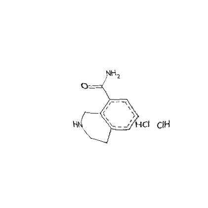 Cl.Cl.NC(=O)c1cccc2c1CNCC2